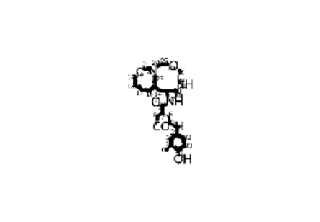 Cc1cc(CCC[C@H](CC(=O)O)C(=O)NC2Cc3ccccccn(c3)CCOCCNC2=O)ccc1O